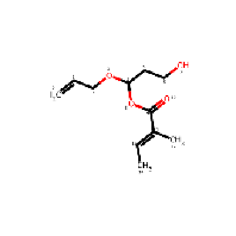 C=CCOC(CCO)OC(=O)C(C)=CC